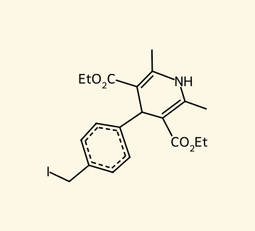 CCOC(=O)C1=C(C)NC(C)=C(C(=O)OCC)C1c1ccc(CI)cc1